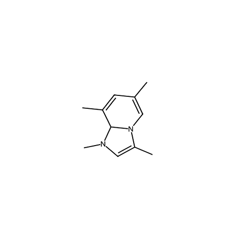 CC1=CN2C(C)=CN(C)C2C(C)=C1